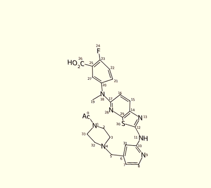 CC(=O)N1CCN(Cc2ccnc(Nc3nc4ccc(N(C)c5ccc(F)c(C(=O)O)c5)nc4s3)c2)CC1